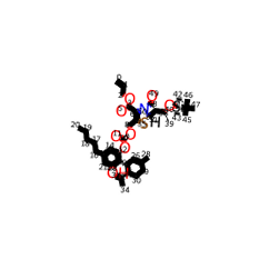 C=CCOC(=O)C1=C(COC(=O)Oc2cc(CCCCC)cc(O)c2[C@@H]2C=C(C)CC[C@H]2C(=C)C)S[C@@H]2[C@@H]([C@@H](C)O[Si](C)(C)C(C)(C)C)C(=O)N12